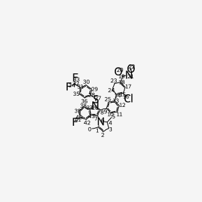 CC1=CCC(C)N1c1c(-c2cccc(C3=C(Cl)C=C(C(=O)N=O)CC3)c2)n(Sc2ccc(C(F)F)cc2)c2ccc(F)cc12